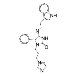 O=C1NC(=NCCc2c[nH]c3ccccc23)C(c2ccccc2)N1CCCn1ccnc1